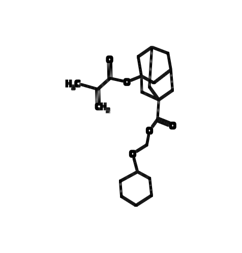 C=C(C)C(=O)OC12CC3CC(C1)CC(C(=O)OCOC1CCCCC1)(C3)C2